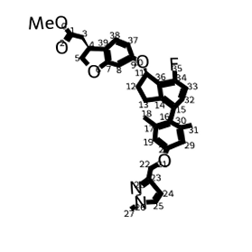 COC(=O)C[C@@H]1COc2cc(O[C@@H]3CCc4c(-c5c(C)cc(OCc6ccn(C)n6)cc5C)ccc(F)c43)ccc21